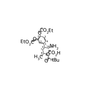 CCOC(=O)Oc1ccc(C(CC(C)OC(=O)C(C)(C)C)[C@H](N)C(=O)O)cc1OC(=O)OCC